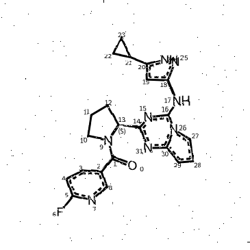 O=C(c1ccc(F)nc1)N1CCC[C@H]1c1nc(Nc2cc(C3CC3)[nH]n2)n2cccc2n1